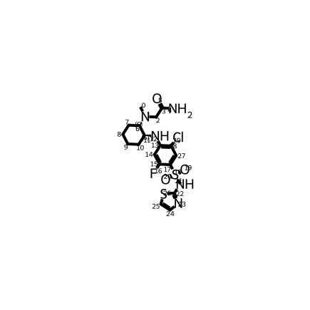 CN(CC(N)=O)[C@H]1CCCC[C@@H]1Nc1cc(F)c(S(=O)(=O)Nc2nccs2)cc1Cl